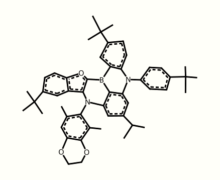 Cc1cc2c(c(C)c1N1c3cc(C(C)C)cc4c3B(c3cc(C(C)(C)C)ccc3N4c3ccc(C(C)(C)C)cc3)c3oc4ccc(C(C)(C)C)cc4c31)OCCO2